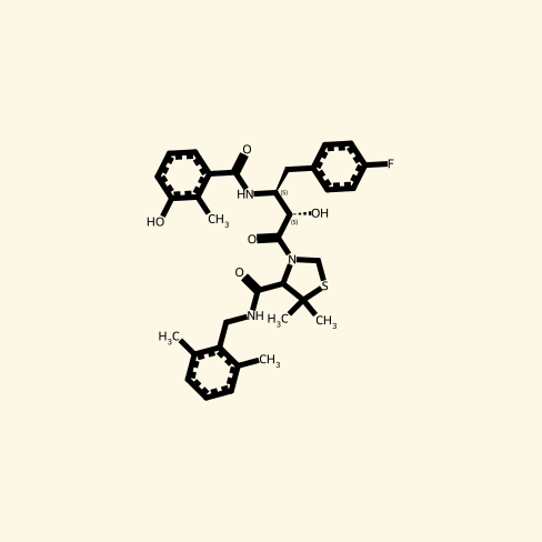 Cc1cccc(C)c1CNC(=O)C1N(C(=O)[C@@H](O)[C@H](Cc2ccc(F)cc2)NC(=O)c2cccc(O)c2C)CSC1(C)C